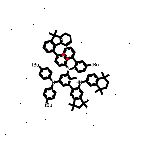 Cc1cc(-c2cccc3c2C2=C(CCC=C2)C3(C)C)ccc1N(c1ccc(C(C)(C)C)cc1-c1ccccc1)c1cc(N(c2ccc(C(C)(C)C)cc2)c2ccc(C(C)(C)C)cc2)cc(-c2cc3c(cc2Nc2ccc4c(c2)C(C)(C)CCC4(C)C)C(C)(C)CC3(C)C)c1C